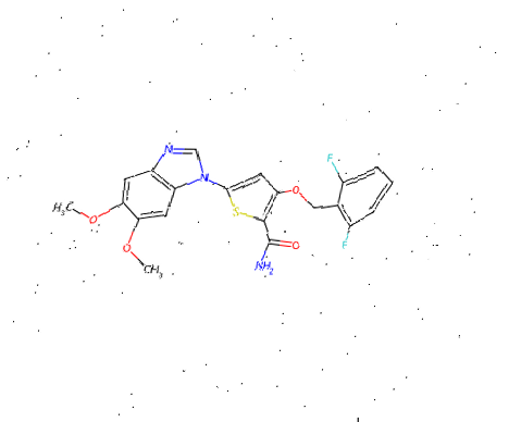 COc1cc2ncn(-c3cc(OCc4c(F)cccc4F)c(C(N)=O)s3)c2cc1OC